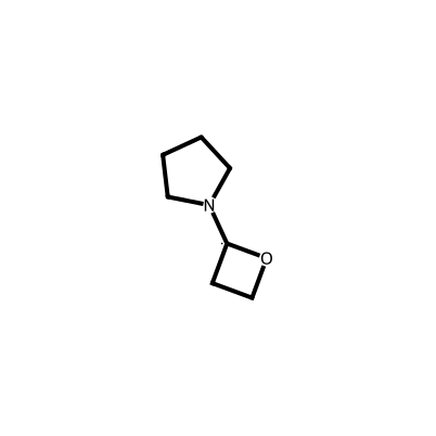 C1CCN([C]2CCO2)C1